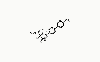 CNC(=O)C(O)(C(N)=O)N(C)C(=O)c1ccc(-c2ccc(C)nc2)cc1